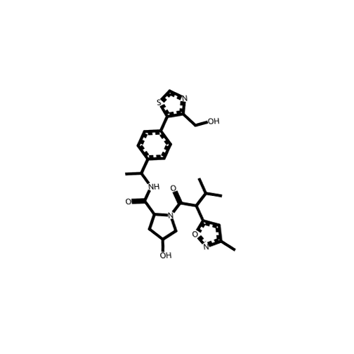 Cc1cc(C(C(=O)N2CC(O)CC2C(=O)NC(C)c2ccc(-c3scnc3CO)cc2)C(C)C)on1